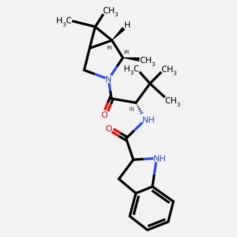 C[C@@H]1[C@@H]2C(CN1C(=O)[C@@H](NC(=O)C1Cc3ccccc3N1)C(C)(C)C)C2(C)C